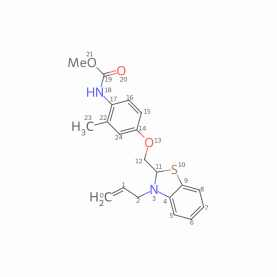 C=CCN1c2ccccc2SC1COc1ccc(NC(=O)OC)c(C)c1